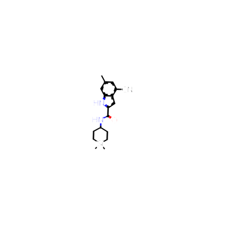 Cc1cc(C#N)c2cc(C(=O)NC3CC[Si](C)(C)CC3)[nH]c2c1